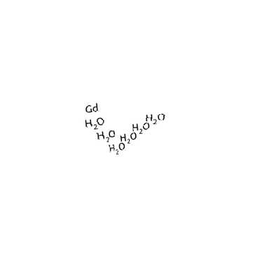 O.O.O.O.O.O.[Gd]